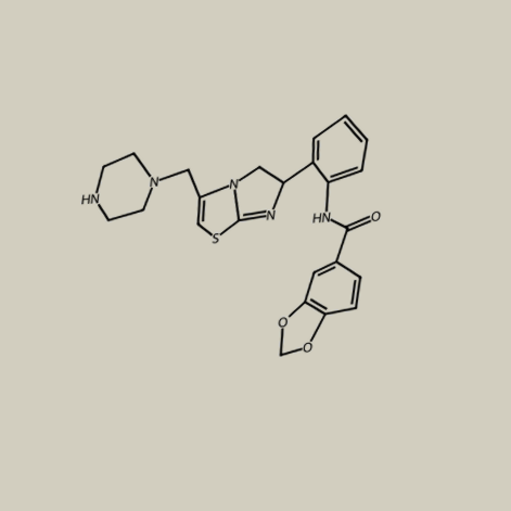 O=C(Nc1ccccc1C1CN2C(CN3CCNCC3)=CSC2=N1)c1ccc2c(c1)OCO2